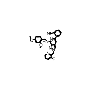 COc1ccc(CNc2nc(-c3ccccc3C#N)cc3cn(Cc4ncccc4F)nc23)c(OC)c1